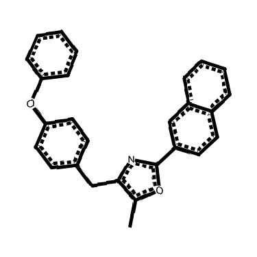 Cc1oc(-c2ccc3ccccc3c2)nc1Cc1ccc(Oc2ccccc2)cc1